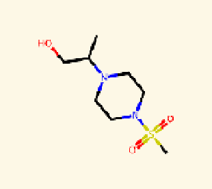 CC(CO)N1CCN(S(C)(=O)=O)CC1